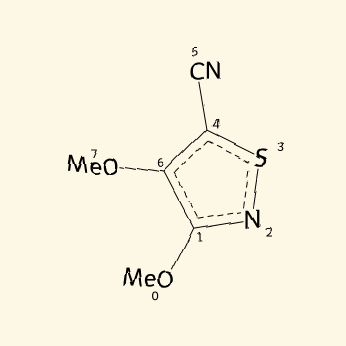 COc1nsc(C#N)c1OC